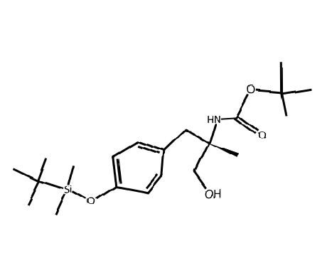 CC(C)(C)OC(=O)N[C@](C)(CO)Cc1ccc(O[Si](C)(C)C(C)(C)C)cc1